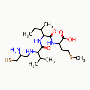 CCC(C)C(NC(=O)C(NCC(N)CS)C(C)C)C(=O)NC(CCSC)C(=O)O